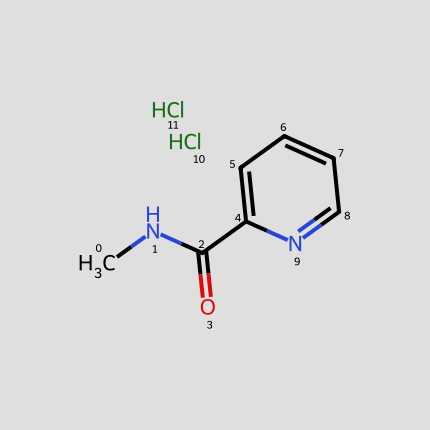 CNC(=O)c1ccccn1.Cl.Cl